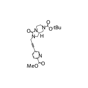 COC(=O)c1ccc(C#CCN2C[C@@H]3CN(C(=O)OC(C)(C)C)CCN3C2=O)cn1